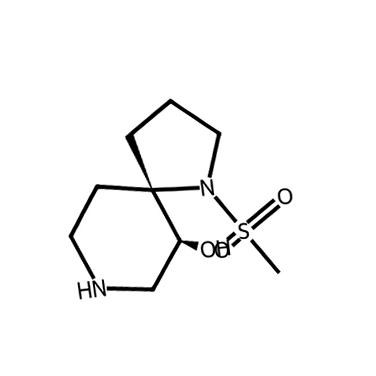 CS(=O)(=O)N1CCC[C@@]12CCNC[C@@H]2O